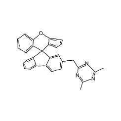 Cc1nc(C)nc(Cc2ccc3c(c2)C2(c4ccccc4Oc4ccccc42)c2ccccc2-3)n1